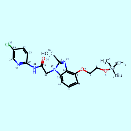 CC(C)(C)[Si](C)(C)OCCOc1cccc2c1nc(C(=O)O)n2CC(=O)Nc1ccc(Cl)cn1